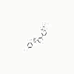 CC(C)c1ccc(NS(=O)(=O)c2cncc(-c3ccc4nc(N)nn4c3)c2)cc1